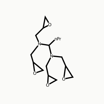 CCCC(N(CC1CO1)CC1CO1)N(CC1CO1)CC1CO1